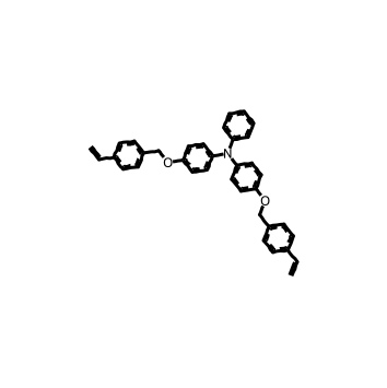 C=Cc1ccc(COc2ccc(N(c3ccccc3)c3ccc(OCc4ccc(C=C)cc4)cc3)cc2)cc1